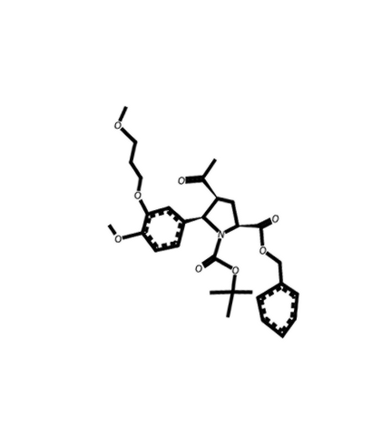 COCCCOc1cc([C@H]2[C@@H](C(C)=O)C[C@@H](C(=O)OCc3ccccc3)N2C(=O)OC(C)(C)C)ccc1OC